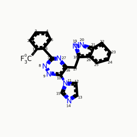 FC(F)(F)c1ccccc1-c1nnc(-n2ccnc2)c(Cc2n[nH]c3ccccc23)n1